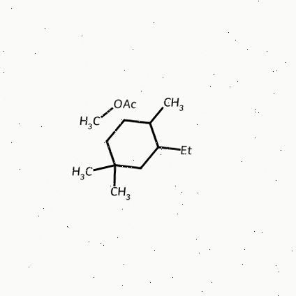 CCC1CC(C)(C)CCC1C.COC(C)=O